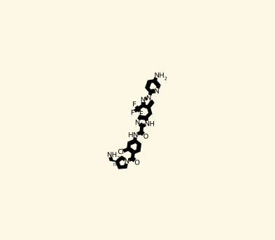 NC[C@@H]1CCN(C(=O)c2ccc(NC(=O)c3ncc(Cc4cn(-c5ccc(N)cn5)nc4C(F)(F)F)[nH]3)cc2Cl)C1